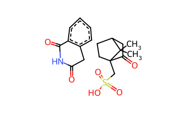 CC1(C)C2CCC1(CS(=O)(=O)O)C(=O)C2.O=C1Cc2ccccc2C(=O)N1